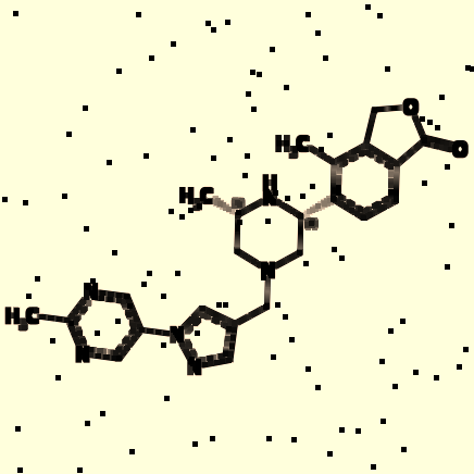 Cc1ncc(-n2cc(CN3C[C@@H](c4ccc5c(c4C)COC5=O)N[C@@H](C)C3)cn2)cn1